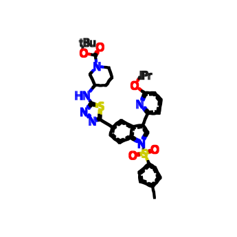 Cc1ccc(S(=O)(=O)n2cc(-c3cccc(OC(C)C)n3)c3cc(-c4nnc(NC5CCCN(C(=O)OC(C)(C)C)C5)s4)ccc32)cc1